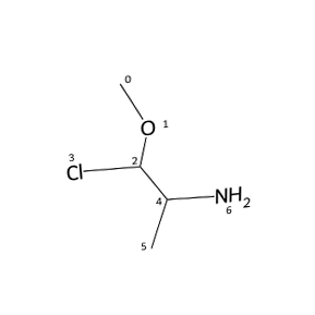 COC(Cl)C(C)N